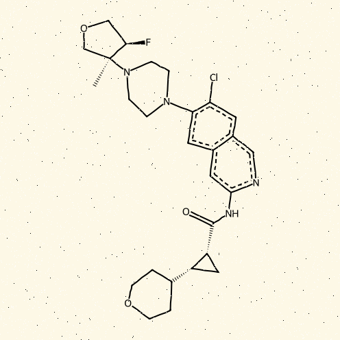 C[C@]1(N2CCN(c3cc4cc(NC(=O)[C@@H]5C[C@@H]5C5CCOCC5)ncc4cc3Cl)CC2)COC[C@H]1F